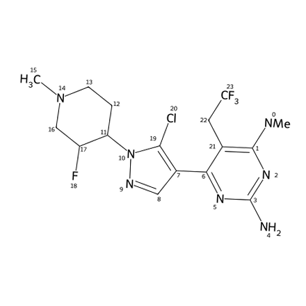 CNc1nc(N)nc(-c2cnn(C3CCN(C)CC3F)c2Cl)c1CC(F)(F)F